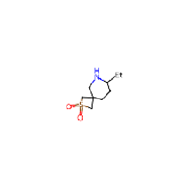 CCC1CCC2(CN1)CS(=O)(=O)C2